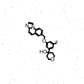 OC1(c2cc(F)cc(OCc3ccc4c(ccc5nccn54)c3)c2)CCOCC1